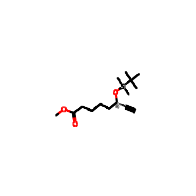 C#C[C@H](CCCCC(=O)OC)O[Si](C)(C)C(C)(C)C